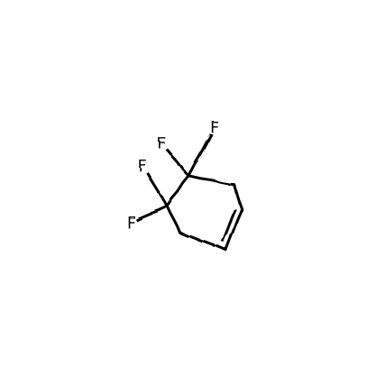 FC1(F)CC=CCC1(F)F